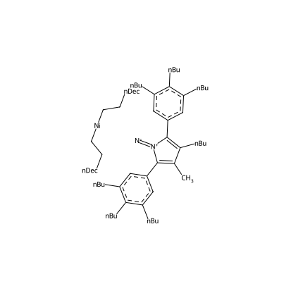 CCCCC1=C(c2cc(CCCC)c(CCCC)c(CCCC)c2)[N+](=[N-])C(c2cc(CCCC)c(CCCC)c(CCCC)c2)=C1C.CCCCCCCCCCC[CH2][Ni][CH2]CCCCCCCCCCC